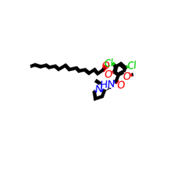 CCCCCCCCCCCCCCCC(=O)Oc1c(Cl)cc(Cl)c(OC)c1C(=O)NC[C@@H]1CCCN1CC